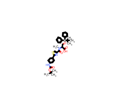 CN(C(=O)c1csc(-c2ccc(NC(=O)OC(C)(C)C)cc2)n1)C(CO[Si](c1ccccc1)(c1ccccc1)C(C)(C)C)C(=O)O